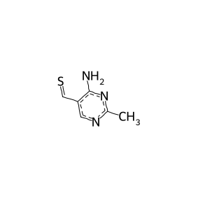 Cc1ncc(C=S)c(N)n1